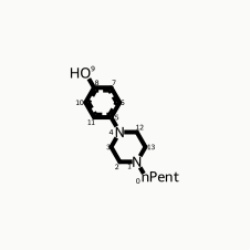 CCCCCN1CCN(c2ccc(O)cc2)CC1